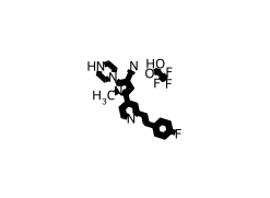 Cn1c(-c2ccnc(C=Cc3ccc(F)cc3)c2)cc(C#N)c1N1CCNCC1.O=C(O)C(F)(F)F